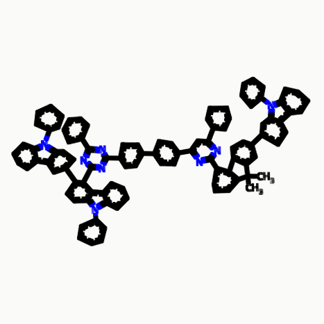 CC1(C)c2cc(-c3ccc4c5ccccc5n(-c5ccccc5)c4c3)ccc2-c2c(-c3nc(-c4ccccc4)cc(-c4ccc(-c5ccc(-c6nc(-c7ccccc7)nc(-c7c(-c8ccc9c(c8)c8ccccc8n9-c8ccccc8)ccc8c7c7ccccc7n8-c7ccccc7)n6)cc5)cc4)n3)cccc21